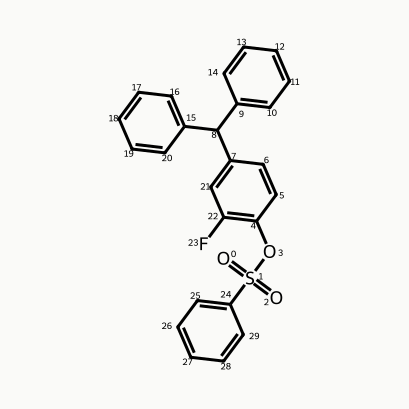 O=S(=O)(Oc1ccc(C(c2ccccc2)c2ccccc2)cc1F)c1ccccc1